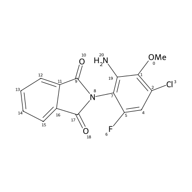 COc1c(Cl)cc(F)c(N2C(=O)c3ccccc3C2=O)c1N